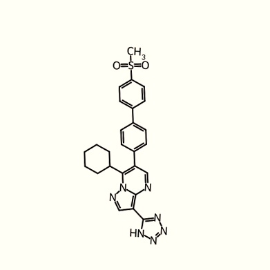 CS(=O)(=O)c1ccc(-c2ccc(-c3cnc4c(-c5nnn[nH]5)cnn4c3C3CCCCC3)cc2)cc1